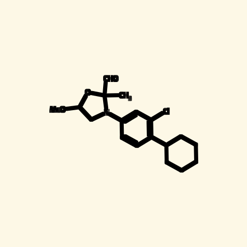 COC1CN(c2ccc(C3CCCCC3)c(Cl)c2)C(C)(C=O)O1